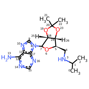 CC(C)NC[C@H]1OC(n2cnc3c(N)ncnc32)[C@@H]2OC(C)(C)O[C@H]12